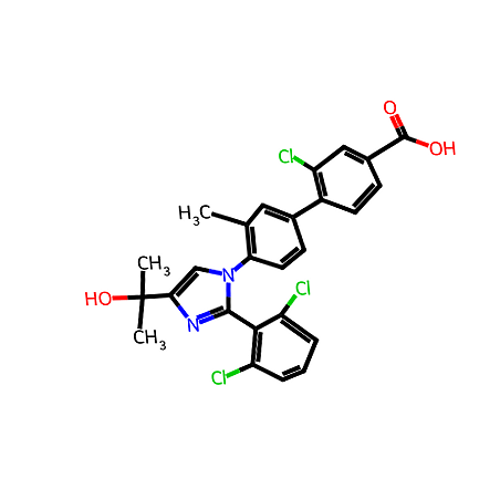 Cc1cc(-c2ccc(C(=O)O)cc2Cl)ccc1-n1cc(C(C)(C)O)nc1-c1c(Cl)cccc1Cl